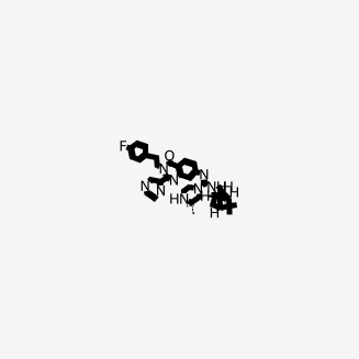 C[C@H]1[C@@H](NC(=Nc2ccc3c(=O)n(CCc4ccc(F)cc4)c(-c4cnccn4)nc3c2)N2CCN[C@@H](C)C2)C[C@@H]2C[C@@H]1C2(C)C